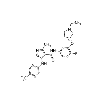 Cc1nsc(Nc2cnc(C(F)(F)F)cn2)c1C(=O)Nc1ccc(F)c(O[C@@H]2CCN(CC(F)(F)F)C2)c1